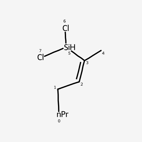 CCCCC=C(C)[SiH](Cl)Cl